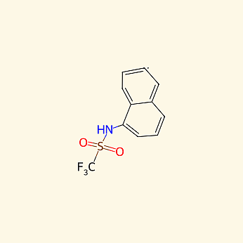 O=S(=O)(Nc1cccc2c[c]ccc12)C(F)(F)F